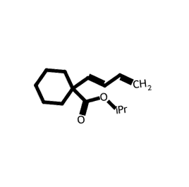 C=CC=CC1(C(=O)OC(C)C)CCCCC1